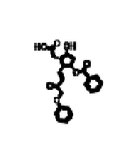 O=C(O)C[C@H]1[C@H](C=CC(=O)COc2ccccc2)[C@H](OC(=O)c2ccccc2)C[C@H]1O